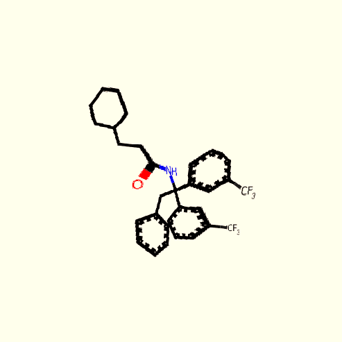 O=C(CCC1CCCCC1)NC(Cc1ccccc1)(c1cccc(C(F)(F)F)c1)c1cccc(C(F)(F)F)c1